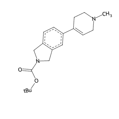 CN1CC=C(c2ccc3c(c2)CN(C(=O)OC(C)(C)C)C3)CC1